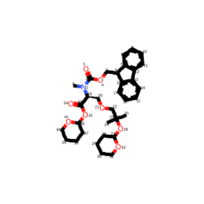 CN(C(=O)OCC1c2ccccc2-c2ccccc21)[C@@H](COCC(C)(C)OC1CCCCO1)C(=O)OC1CCCCO1